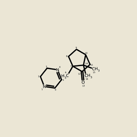 C1=NCCN=C1.CC12CCC(CC1=O)C2(C)C